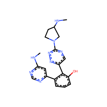 CNc1cc(-c2cccc(O)c2-c2cnc(N3CCC(NC)C3)nn2)ncn1